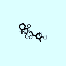 Cc1cc(C(=O)CN2C(=O)NC3(CCCCC3)C2=O)cnc1Cl